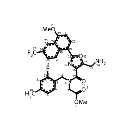 COC(=O)CN(Cc1ccc(C)cc1F)C(=O)c1nc(-c2ccc(OC)c3nc(C(F)(F)F)ccc23)oc1CN